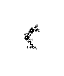 CN(C)CCCC(=O)Nc1cccc(NC(=O)Nc2ccc(N(CCCl)CCCl)cc2)c1